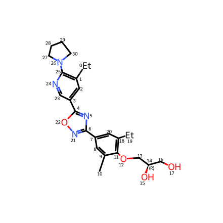 CCc1cc(-c2nc(-c3cc(C)c(OC[C@H](O)CO)c(CC)c3)no2)cnc1N1CCCC1